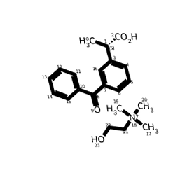 C[C@H](C(=O)O)c1cccc(C(=O)c2ccccc2)c1.C[N+](C)(C)CCO